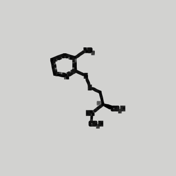 O=C(O)N[C@@H](CSSc1ncccc1[N+](=O)[O-])C(=O)O